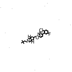 CC(C)(C)CCN1C[C@H]2CC(COc3ccc(-c4cc(F)ccc4Cl)nn3)C[C@H]2C1